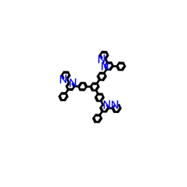 c1ccc(-c2cc(-c3ccc(-c4cc(-c5ccc(-c6cc(-c7ccccc7)cc(-c7ccccn7)n6)cc5)cc(-c5ccc(-c6cc(-c7ccccc7)cc(-c7ccccn7)n6)cc5)c4)cc3)nc(-c3ccccn3)c2)cc1